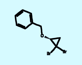 BrC1(Br)C[C@H]1OCc1ccccc1